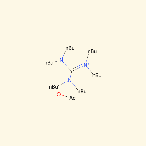 CC(=O)[O-].CCCCN(CCCC)C(N(CCCC)CCCC)=[N+](CCCC)CCCC